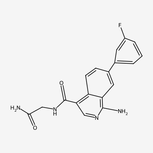 NC(=O)CNC(=O)c1cnc(N)c2cc(-c3cccc(F)c3)ccc12